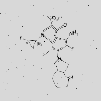 Nc1c(F)c(N2CC3CCCNC3C2)c(F)c2c1c(=O)c(C(=O)O)cn2[C@@H]1C[C@@H]1F